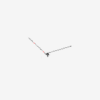 C[CH]c1nc(CCCCCCCCCCCCCCCCCCCCCCC)cc(CCCCCCCCCCCCCCCCCCCCCCC)n1